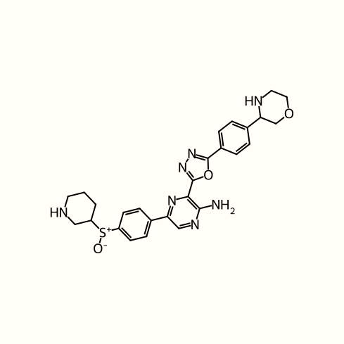 Nc1ncc(-c2ccc([S+]([O-])C3CCCNC3)cc2)nc1-c1nnc(-c2ccc(C3COCCN3)cc2)o1